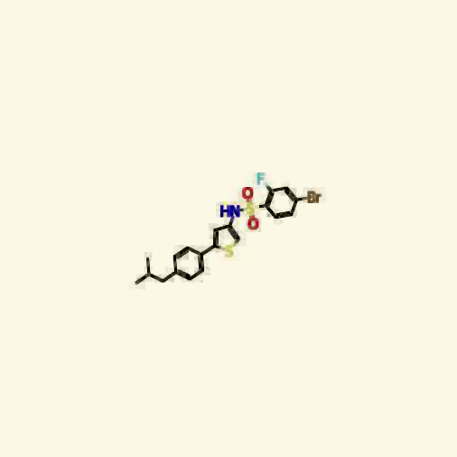 CC(C)Cc1ccc(-c2cc(NS(=O)(=O)c3ccc(Br)cc3F)cs2)cc1